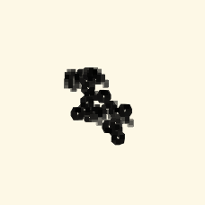 C=C(/N=C(\N=C(/C)c1cccc2c1sc1ccccc12)c1ccccc1)c1cccc(-n2c3cc4c(cc3c3cc5c(cc32)C(C)(C)C(C)(C)C5(C)C)-c2ccccc2C4(C)C)c1